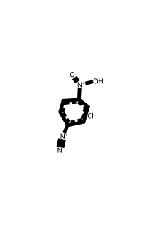 Cl.N#[N+]c1ccc([N+](=O)O)cc1